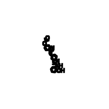 O[C@@H]1CCCC[C@H]1Nc1nc2ccc(Cn3cnc4cc(OC5COC5)ccc43)cc2s1